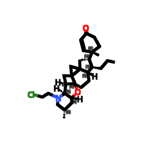 CCC[C@H]1[C@@H]2CC[C@@]34O[C@@H]5C[C@H](C)CN(CCCl)[C@H]5[C@H]3CC43CC23C[C@@H]1[C@]1(C)C=CC(=O)CC1